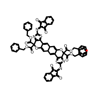 O=C(OCc1ccccc1)C1(C(=O)OCc2ccccc2)OC2=CC3C=C4C(=CC3C=C2c2sc(N=c3c(=O)c5ccccc5c3=O)nc21)OC(C(=O)OCc1ccccc1)(C(=O)OCc1ccccc1)c1nc(N=c2c(=O)c3ccccc3c2=O)sc14